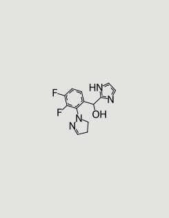 OC(c1ncc[nH]1)c1ccc(F)c(F)c1N1CCC=N1